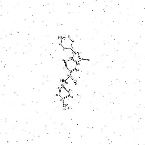 Cc1nn(C2CCNCC2)c2ncc(C(=O)Nc3ccc(C(F)(F)F)cc3)cc12